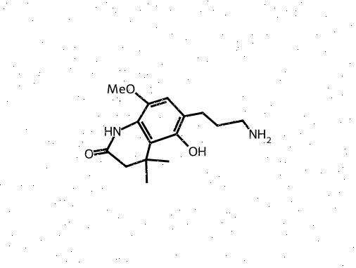 COc1cc(CCCN)c(O)c2c1NC(=O)CC2(C)C